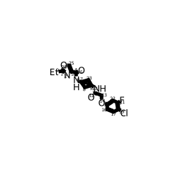 CCc1nc(C(=O)NC23CC(NC(=O)COc4ccc(Cl)c(F)c4)(C2)C3)co1